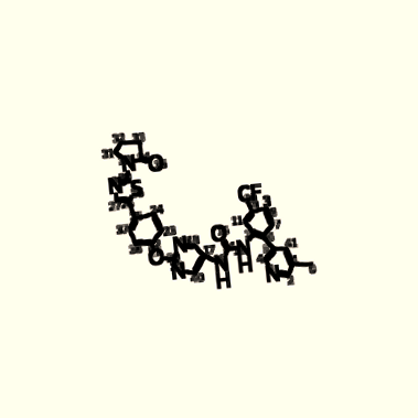 Cc1cncc(-c2ccc(C(F)(F)F)cc2NC(=O)Nc2cnc(Oc3ccc(-c4cnc(N5CCCC5=O)s4)cc3)nc2)c1